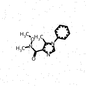 CON(C)C(=O)c1ncn(-c2ccccc2)c1C